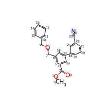 COC(=O)c1cc(COCc2ccccc2)cc(-c2cccc(C#N)c2)c1